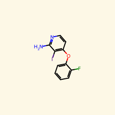 Nc1nccc(Oc2ccccc2F)c1I